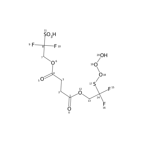 O=C(CCC(=O)OCC(F)(F)S(=O)(=O)O)OCC(F)(F)SOOO